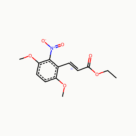 CCOC(=O)/C=C/c1c(OC)ccc(OC)c1[N+](=O)[O-]